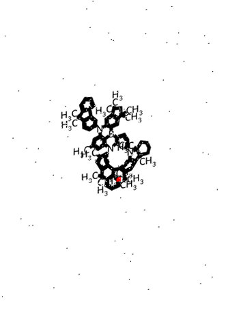 Cc1cc2c3c(c1)N1c4cc5c(cc4C)C(C)(C)c4ccccc4C5(C)c4cc5c(cc4C(C)(C)C)C4(C)CCCCC4(C)N5c4ccc(c1c4)B3c1cc3c(cc1N2c1ccc2c(c1)-c1ccccc1C2(C)C)C(C)(C)CC3(C)C